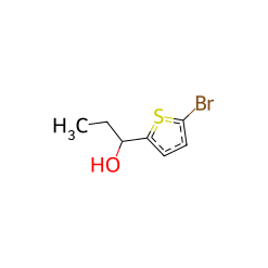 CCC(O)c1ccc(Br)s1